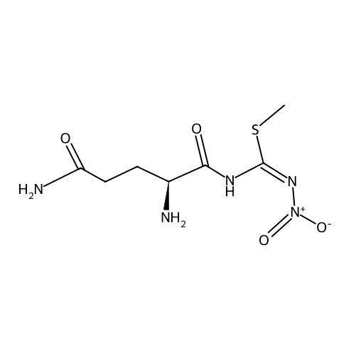 CSC(=N[N+](=O)[O-])NC(=O)[C@@H](N)CCC(N)=O